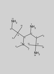 CC(C(N)C(N(C)C)C(C)(C)CN)C(C)(C)N